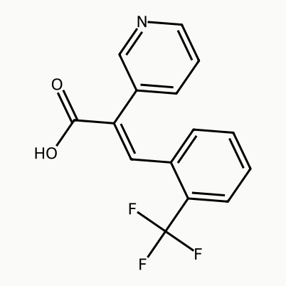 O=C(O)/C(=C/c1ccccc1C(F)(F)F)c1cccnc1